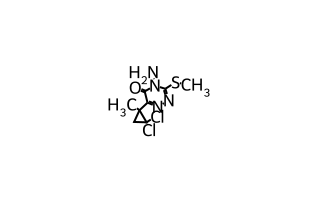 CSc1nnc(C2(C)CC2(Cl)Cl)c(=O)n1N